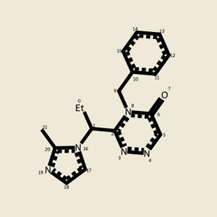 CCC(c1nncc(=O)n1Cc1ccccc1)n1ccnc1C